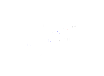 C[C@@H]1CN(c2cccc3[nH]ccc23)C[C@H](C)N1C(=O)OC(C)(C)C